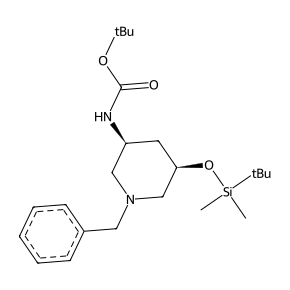 CC(C)(C)OC(=O)N[C@H]1C[C@@H](O[Si](C)(C)C(C)(C)C)CN(Cc2ccccc2)C1